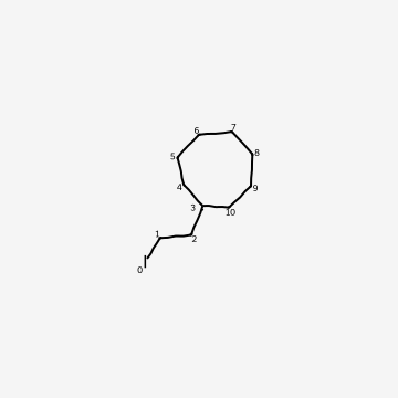 ICC[C]1CCCCCCC1